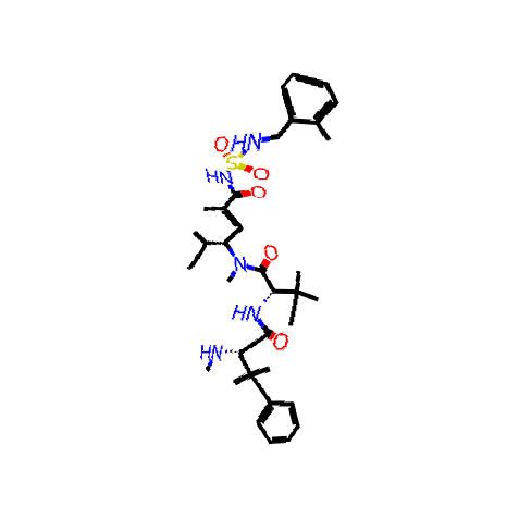 CN[C@H](C(=O)N[C@H](C(=O)N(C)[C@H](/C=C(\C)C(=O)NS(=O)(=O)NCc1ccccc1C)C(C)C)C(C)(C)C)C(C)(C)c1ccccc1